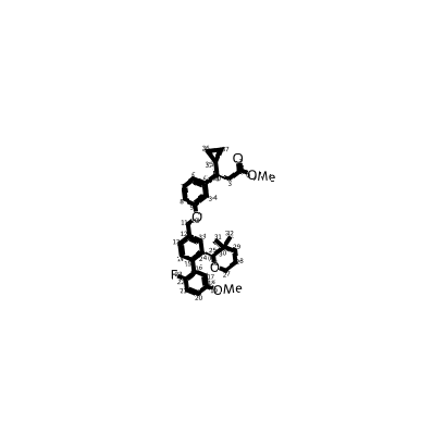 COC(=O)C[C@@H](c1cccc(OCc2ccc(-c3cc(OC)ccc3F)c([C@@H]3OCCCC3(C)C)c2)c1)C1CC1